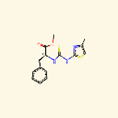 COC(=O)[C@H](Cc1ccccc1)NC(=S)Nc1nc(C)cs1